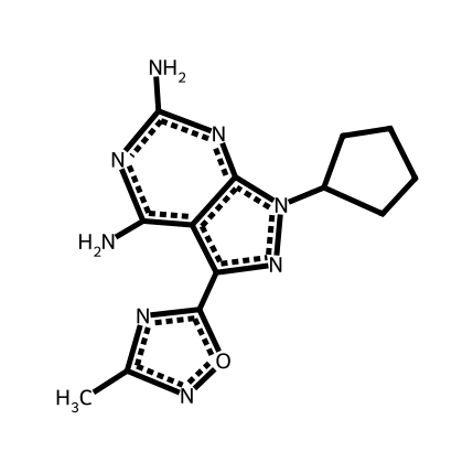 Cc1noc(-c2nn(C3CCCC3)c3nc(N)nc(N)c23)n1